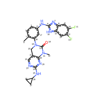 Cc1ccc(Nc2nc3cc(F)c(F)cc3[nH]2)cc1N1Cc2cnc(NC3CC3)nc2N(C)C1=O